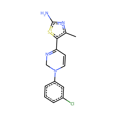 Cc1nc(N)sc1C1=NCN(c2cccc(Cl)c2)C=C1